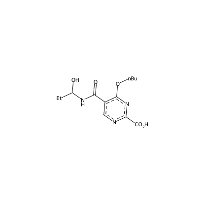 CCCCOc1nc(C(=O)O)ncc1C(=O)NC(O)CC